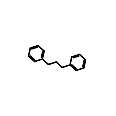 [c]1ccc(CCCc2ccccc2)cc1